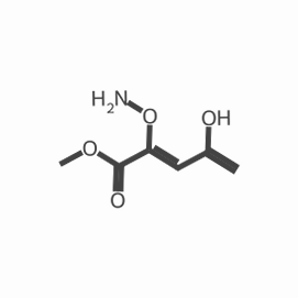 C=C(O)/C=C(\ON)C(=O)OC